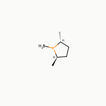 BP1[C@H](C)CC[C@H]1C